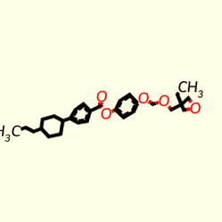 CCCC1CCC(c2ccc(C(=O)Oc3ccc(OCOCC4(CC)COC4)cc3)cc2)CC1